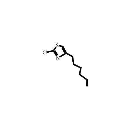 CCCCCCc1csc(Cl)n1